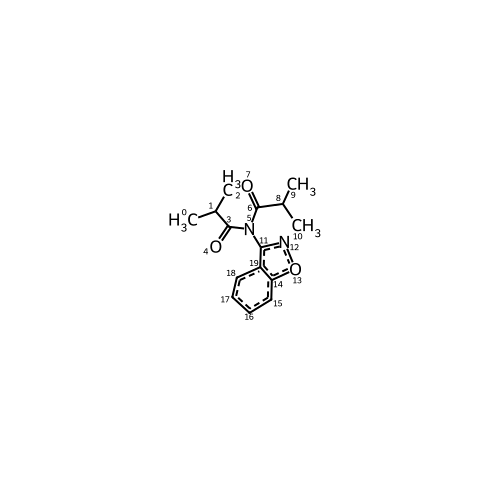 CC(C)C(=O)N(C(=O)C(C)C)c1noc2ccccc12